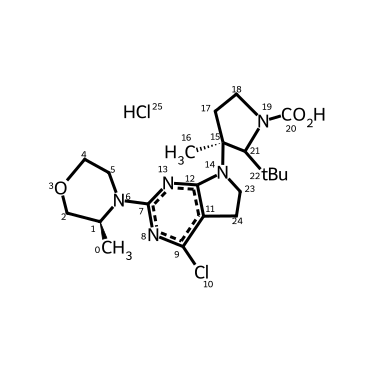 C[C@H]1COCCN1c1nc(Cl)c2c(n1)N([C@@]1(C)CCN(C(=O)O)C1C(C)(C)C)CC2.Cl